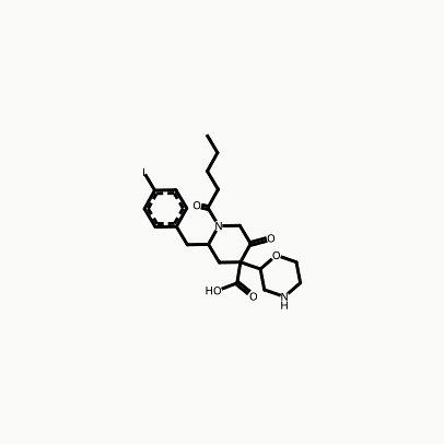 CCCCC(=O)N1CC(=O)C(C(=O)O)(C2CNCCO2)CC1Cc1ccc(I)cc1